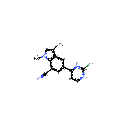 Cc1cn(C)c2c(C#N)cc(-c3ccnc(Cl)n3)cc12